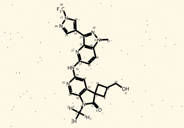 [2H]C([2H])([2H])N1C(=O)C2(CC(CO)C2)c2cc(Nc3ccc4c(n3)c(-c3cnn(C(F)(F)F)c3)nn4C)ncc21